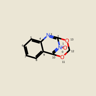 [O-][n+]1c2nc3ccccc3c1OCO2